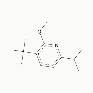 COc1nc(C(C)C)ccc1C(C)(C)C